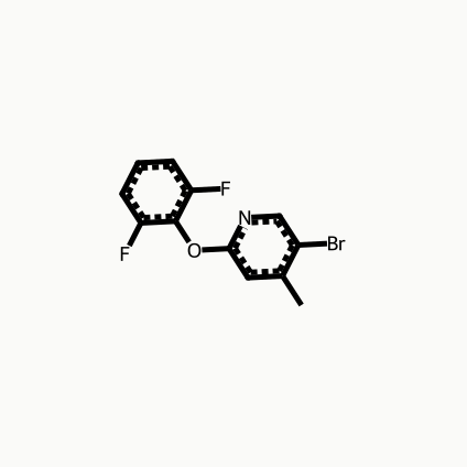 Cc1cc(Oc2c(F)cccc2F)ncc1Br